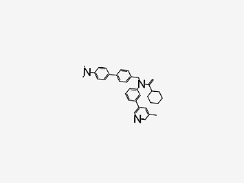 C=C(C1CCCCC1)N(Cc1ccc(-c2ccc(N(C)C)cc2)cc1)c1cccc(-c2cncc(C)c2)c1